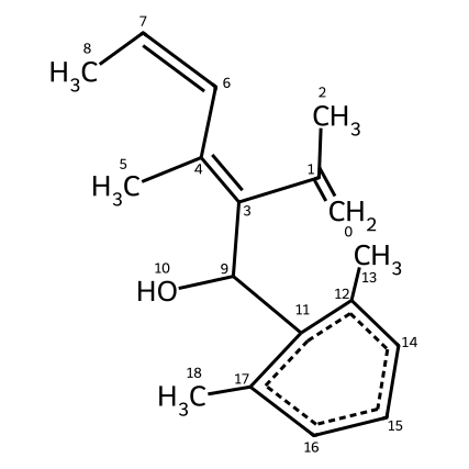 C=C(C)/C(=C(C)\C=C/C)C(O)c1c(C)cccc1C